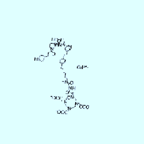 C[C@@H](C(=O)NCC(=O)NCCCCCCc1ccc(CCc2cncc([C@H](CC(=O)O)NC(=O)[C@@H]3CCCN(C(=O)CCC4CCNCC4)C3)c2)cc1)N1CCN(CC(=O)[O-])CCN(CC(=O)[O-])CCN(CC(=O)[O-])CC1.[Gd+3]